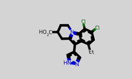 CCc1cc(Cl)c(Cl)c2c1c(-c1cn[nH]c1)c1n2CCC(C(=O)O)C1